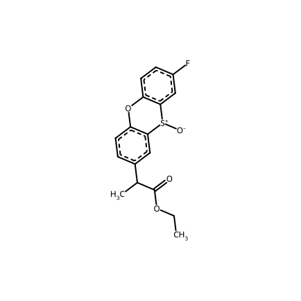 CCOC(=O)C(C)c1ccc2c(c1)[S+]([O-])c1cc(F)ccc1O2